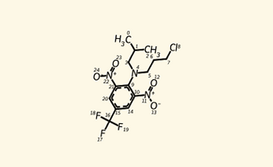 CC(C)CN(CCCCl)c1c([N+](=O)[O-])cc(C(F)(F)F)cc1[N+](=O)[O-]